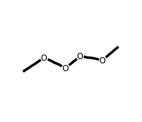 COOOOC